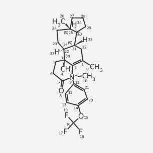 CC1=C2[C@](C)(CCC(=O)[N+]2(C)c2ccc(OC(F)(F)F)cc2)[C@H]2CC[C@]3(C)CCC[C@H]3[C@@H]2C1